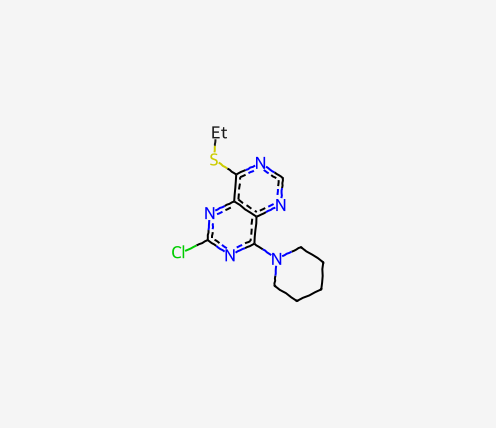 CCSc1ncnc2c(N3CCCCC3)nc(Cl)nc12